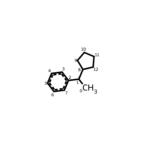 C[C](c1ccccc1)C1CCCC1